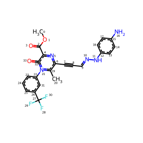 COC(=O)c1nc(C#C/C=N/Nc2ccc(N)cc2)c(C)n(-c2cccc(C(F)(F)F)c2)c1=O